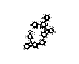 Cc1ccc(-n2c3ccccc3c3ccc(-c4cccc(-c5ccc6c(c5)c5ccccc5n6-c5nc(-c6ccccc6)cc(-c6ccccc6)n5)c4)cc32)cc1